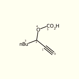 C#CC(CCCC)OC(=O)O